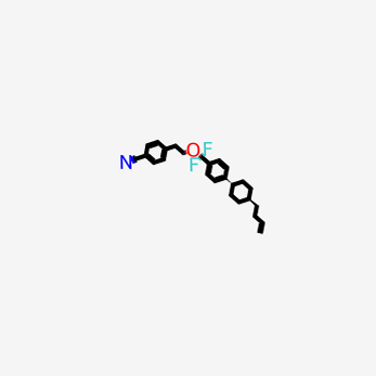 C=CCC[C@H]1CC[C@H](c2ccc(C(F)(F)OCCc3ccc(C#N)cc3)cc2)CC1